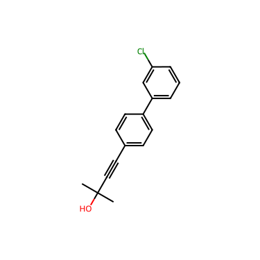 CC(C)(O)C#Cc1ccc(-c2cccc(Cl)c2)cc1